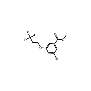 COC(=O)c1cc(Br)cc(OCCC(F)(F)F)c1